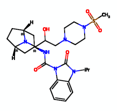 CC(C)n1c(=O)n(C(=O)N[C@@H]2C[C@H]3CC[C@@H](C2)N3CC(O)CN2CCN(S(C)(=O)=O)CC2)c2ccccc21